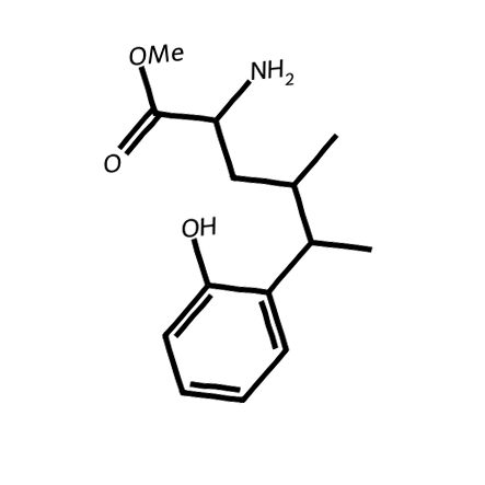 COC(=O)C(N)CC(C)C(C)c1ccccc1O